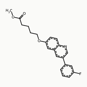 COC(=O)CCCCOc1ccc2ncc(-c3cccc(F)c3)cc2c1